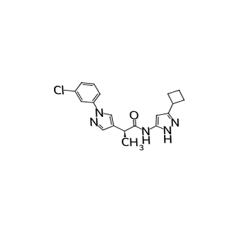 C[C@H](C(=O)Nc1cc(C2CCC2)n[nH]1)c1cnn(-c2cccc(Cl)c2)c1